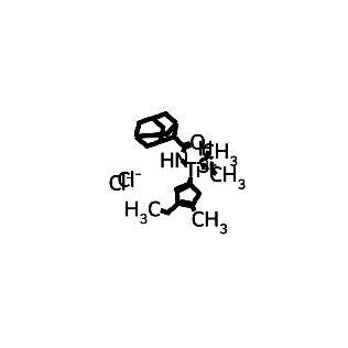 CCC1=C(C)C[C]([Ti+2]([NH]C(=O)C2C3CC4CC(C3)CC2C4)[SiH](C)C)=C1.[Cl-].[Cl-]